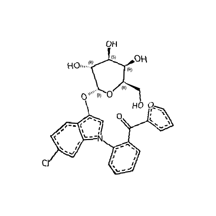 O=C(c1ccco1)c1ccccc1-n1cc(O[C@H]2O[C@H](CO)[C@H](O)[C@H](O)[C@H]2O)c2ccc(Cl)cc21